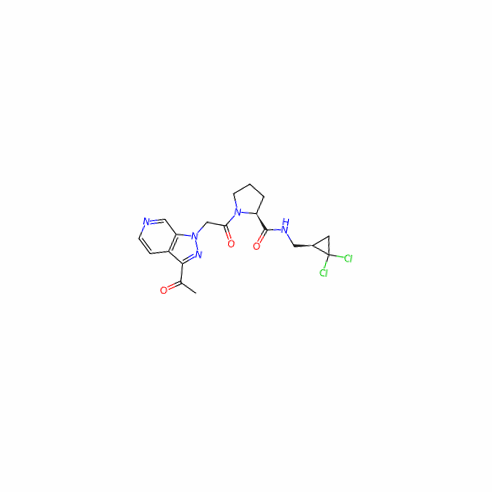 CC(=O)c1nn(CC(=O)N2CCC[C@H]2C(=O)NC[C@H]2CC2(Cl)Cl)c2cnccc12